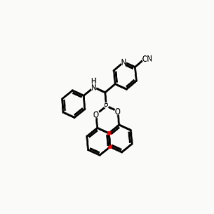 N#Cc1ccc(C(Nc2ccccc2)P(Oc2ccccc2)Oc2ccccc2)cn1